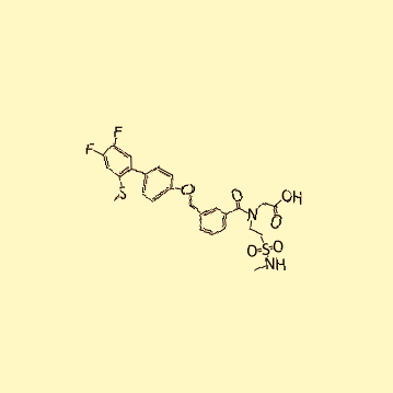 CNS(=O)(=O)CCN(CC(=O)O)C(=O)c1cccc(COc2ccc(-c3cc(F)c(F)cc3SC)cc2)c1